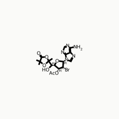 CC(=O)O[C@H]1[C@@H](Br)[C@H](n2cnc3c(N)ncnc32)O[C@@H]1C(O)C1(C)OC(=O)C(C)(C)O1